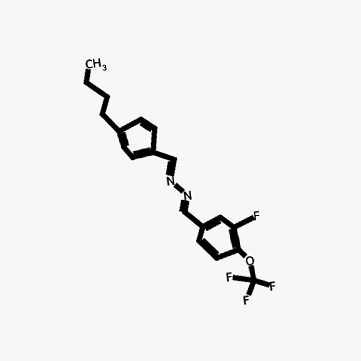 CCCCc1ccc(C=NN=Cc2ccc(OC(F)(F)F)c(F)c2)cc1